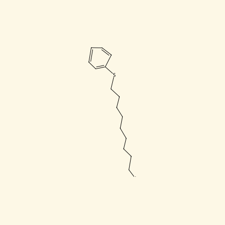 [CH2]CCCCCCCCCSc1ccccc1